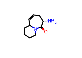 N[C@H]1CC=CC2CCCCN2C1=O